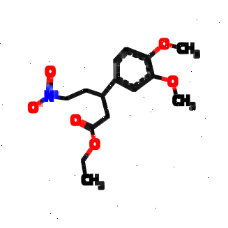 CCOC(=O)CC(CC[N+](=O)[O-])c1ccc(OC)c(OC)c1